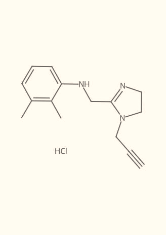 C#CCN1CCN=C1CNc1cccc(C)c1C.Cl